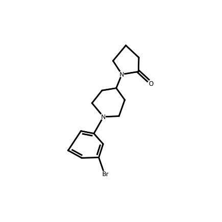 O=C1CCCN1C1CCN(c2cccc(Br)c2)CC1